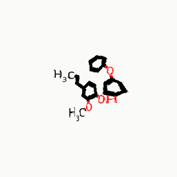 CC=Cc1ccc(O)c(OC)c1.c1ccc(Oc2ccccc2)cc1